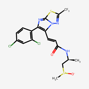 C[C@@H](C[S+](C)[O-])NC(=O)C=Cc1c(-c2ccc(Cl)cc2Cl)nc2sc(C(F)(F)F)nn12